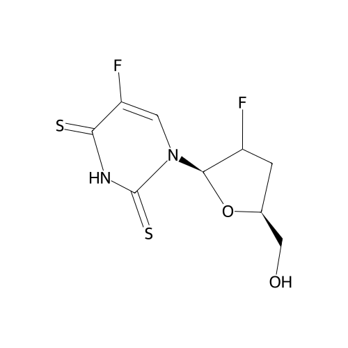 OC[C@@H]1CC(F)[C@H](n2cc(F)c(=S)[nH]c2=S)O1